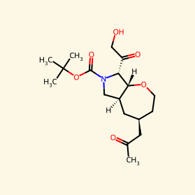 CC(=O)C[C@@H]1CCO[C@@H]2[C@@H](C1)CN(C(=O)OC(C)(C)C)[C@@H]2C(=O)CO